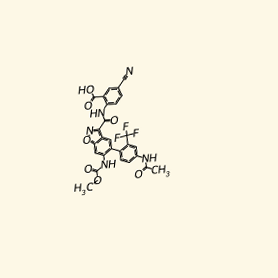 COC(=O)Nc1cc2onc(C(=O)Nc3ccc(C#N)cc3C(=O)O)c2cc1-c1ccc(NC(C)=O)cc1C(F)(F)F